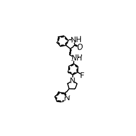 O=C1Nc2ccccc2/C1=C/Nc1ccc(N2CCC(c3ccccn3)C2)c(F)c1